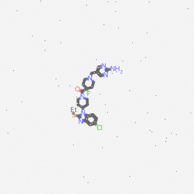 CCSc1nc2cc(Cl)ccc2n1C1CCN(C(=O)C2(F)CCN(Cc3cnc(N)nc3)CC2)CC1